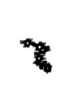 O=S(=O)(c1ccccc1)n1ccc2cc(Nc3ncnc4ccc(C#CC5CCNCC5)cc34)ccc21